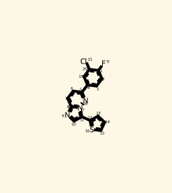 Fc1ccc(-c2ccc3ncc(-c4cccs4)n3n2)cc1Cl